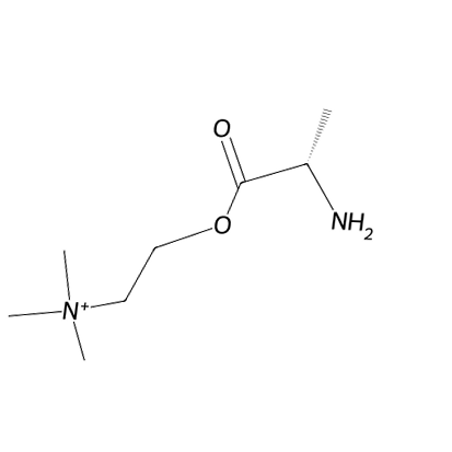 C[C@H](N)C(=O)OCC[N+](C)(C)C